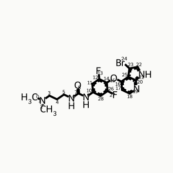 CN(C)CCCNC(=O)Nc1cc(F)c(Oc2ccnc3[nH]cc(Br)c23)c(F)c1